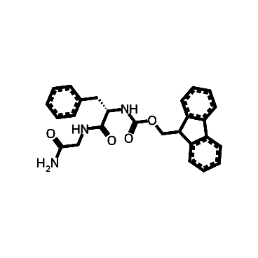 NC(=O)CNC(=O)[C@H](Cc1ccccc1)NC(=O)OCC1c2ccccc2-c2ccccc21